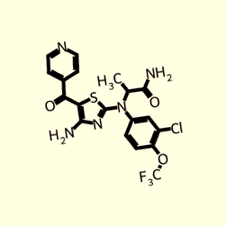 CC(C(N)=O)N(c1ccc(OC(F)(F)F)c(Cl)c1)c1nc(N)c(C(=O)c2ccncc2)s1